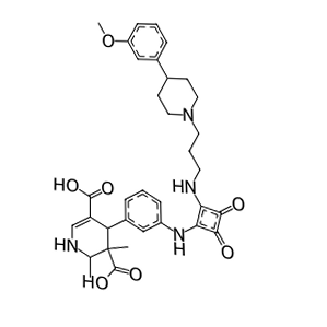 COc1cccc(C2CCN(CCCNc3c(Nc4cccc(C5C(C(=O)O)=CNC(C)C5(C)C(=O)O)c4)c(=O)c3=O)CC2)c1